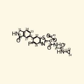 CS(=O)(=O)C(C(=O)NCC(=O)NC1CC1)c1nc2cc(F)c(-c3ccc4c(c3)C(=O)NC4)cc2s1